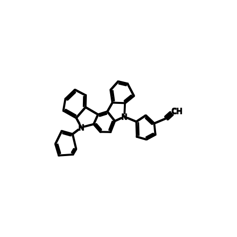 C#Cc1cccc(-n2c3ccccc3c3c4c5ccccc5n(-c5ccccc5)c4ccc32)c1